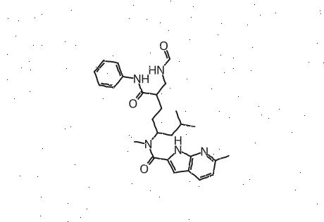 Cc1ccc2cc(C(=O)N(C)C(CCC(CNC=O)C(=O)Nc3ccccc3)CC(C)C)[nH]c2n1